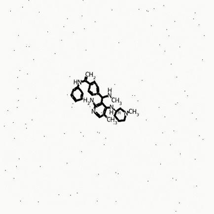 C=C(Nc1ccccc1)c1ccc(C(NC)c2c(N)ncc(C)c2N[C@@H]2CCCN(C)C2)cc1